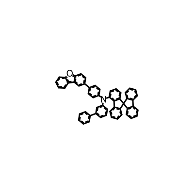 c1ccc(-c2cccc(N(c3ccc(-c4ccc5oc6ccccc6c5c4)cc3)c3cccc4c3-c3ccccc3C43c4ccccc4-c4ccccc43)c2)cc1